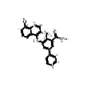 COC(=O)c1cc(-c2ccncc2)cc(Nc2ccnc3c(Cl)cccc23)c1[N+](=O)[O-]